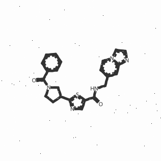 O=C(NCc1ccn2ccnc2c1)c1cnc(C2CCN(C(=O)c3ccccc3)C2)s1